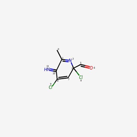 CC1=NC(Cl)([C]=O)C=C(Cl)C1=N